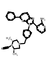 C[C@@H]1CN(Cc2ccc(-n3c(-c4cccnc4N)nc4ccc(-c5ccccc5)nc43)cc2)C[C@@H](C)N1C#N